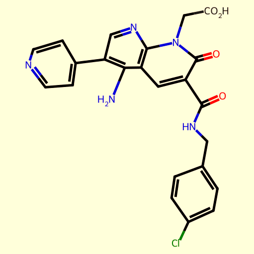 Nc1c(-c2ccncc2)cnc2c1cc(C(=O)NCc1ccc(Cl)cc1)c(=O)n2CC(=O)O